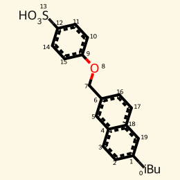 CCC(C)c1ccc2cc(COc3ccc(S(=O)(=O)O)cc3)ccc2c1